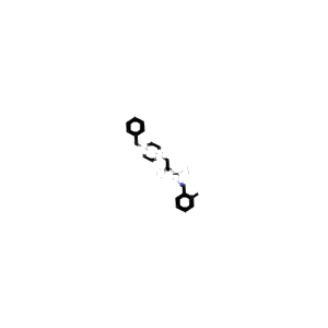 Cc1ccccc1/C=N/NC(=O)CN1CCN(Cc2ccccc2)CC1